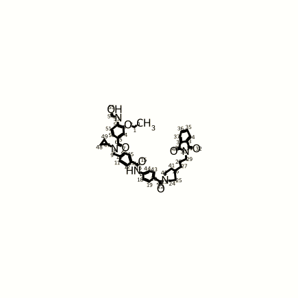 CCOc1cc(C(=O)N(Cc2ccc(C(=O)Nc3ccc(C(=O)N4CCC(CCCN5C(=O)c6ccccc6C5=O)CC4)cc3)cc2)C2CC2)ccc1NC=O